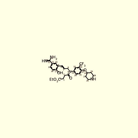 CCOC(=O)CCC(=O)N(C/C=C/c1cc(C(=N)N)ccc1O)c1ccc(OC2CCNCC2)c(C(F)(F)F)c1